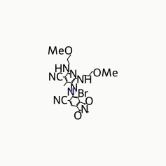 COCCCNc1nc(NCCCOC)c(/N=N/c2c(C#N)cc3c(c2Br)C(=O)N(C)C3=O)c(C)c1C#N